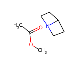 C1CN2CCC12.COC(C)=O